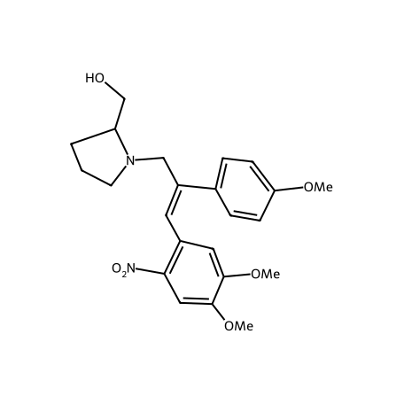 COc1ccc(/C(=C\c2cc(OC)c(OC)cc2[N+](=O)[O-])CN2CCCC2CO)cc1